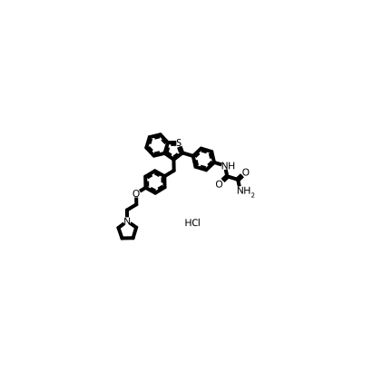 Cl.NC(=O)C(=O)Nc1ccc(-c2sc3ccccc3c2Cc2ccc(OCCN3CCCC3)cc2)cc1